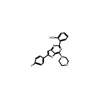 Oc1ccccc1-c1nc(N2CCOCC2)c2sc(-c3ccc(F)cc3)cc2n1